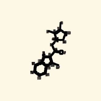 CC1=C(C)N(CC(=O)c2sc3ccccc3c2C)CS1